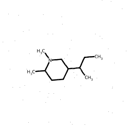 CCC(C)C1CCC(C)N(C)C1